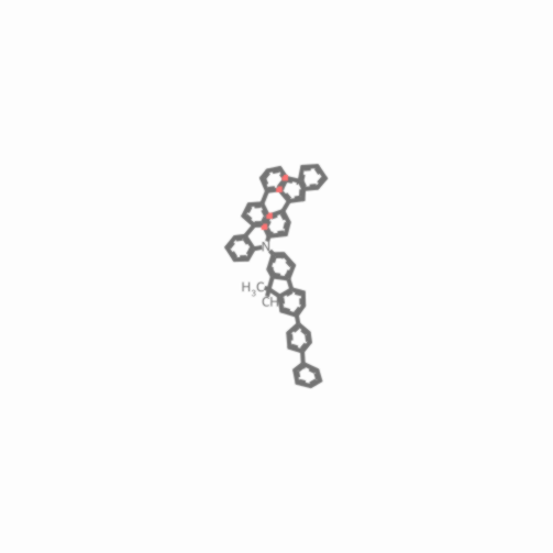 CC1(C)c2cc(-c3ccc(-c4ccccc4)cc3)ccc2-c2ccc(N(c3ccc(-c4ccc5ccccc5c4)cc3)c3ccccc3-c3ccc(-c4ccccc4)cc3)cc21